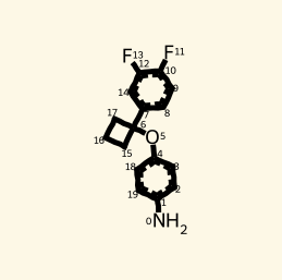 Nc1ccc(OC2(c3ccc(F)c(F)c3)CCC2)cc1